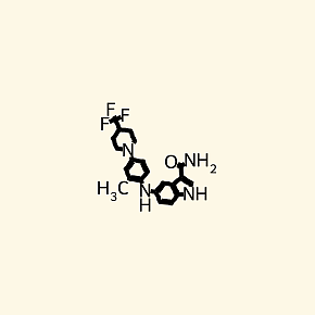 Cc1cc(N2CCC(C(F)(F)F)CC2)ccc1Nc1ccc2[nH]cc(C(N)=O)c2c1